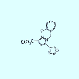 CCOC(=O)c1cc(-c2cocn2)n(Cc2ccccc2F)n1